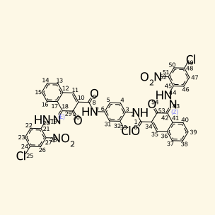 O=C(Nc1ccc(NC(=O)C2=Cc3ccccc3/C(=N\Nc3ccc(Cl)cc3[N+](=O)[O-])C2=O)cc1Cl)C1=Cc2ccccc2/C(=N/Nc2ccc(Cl)cc2[N+](=O)[O-])C1=O